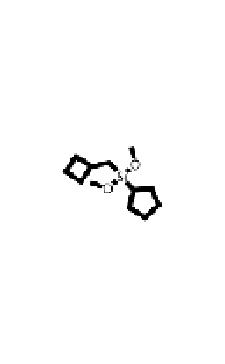 CO[Si](CC1CCC1)(OC)C1CCCC1